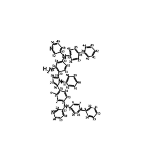 Cc1cc(N(c2ccc(-c3ccccc3)cc2)c2cccnc2)ccc1-c1ccc(-c2ccc(N(c3ccc(-c4ccccc4)cc3)c3cccnc3)cc2N)n1-c1ccccc1